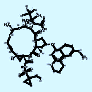 COc1ccc2c(O[C@@H]3C[C@H]4C(=O)N[C@]5(C(=O)NS(=O)(=O)C6(CF)CC6)C[C@H]5/C=C\CC[C@H](C)C[C@@H](C)[C@H](N(C(=O)O)C(C)(C)C(F)(F)F)C(=O)N4C3)nc3c(c2c1)CCCO3